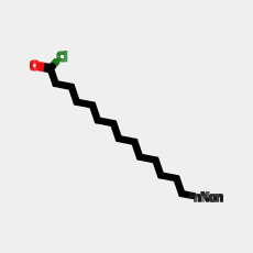 CCCCCCCCCCCCCCCCCCCCCCC(=O)Cl